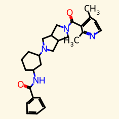 Cc1ccnc(C)c1C(=O)N1CC2CN(C3CCCC(NC(=O)c4ccccc4)C3)CC2C1